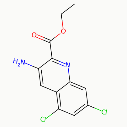 CCOC(=O)c1nc2cc(Cl)cc(Cl)c2cc1N